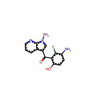 Nc1ccc(O)c(C(=O)c2cn(P)c3ncccc23)c1F